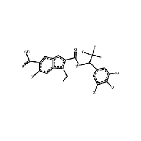 CCn1c(C(=O)NC(c2cc(Cl)c(Cl)c(Cl)c2)C(F)(F)F)cc2cc(C(=O)O)c(Cl)cc21